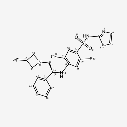 O=S(=O)(Nc1nccs1)c1cc(Cl)c(N[C@H](CN2CC(F)C2)c2ccccc2)cc1F